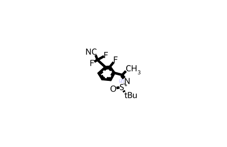 C/C(=N/[S+]([O-])C(C)(C)C)c1cccc(C(F)(F)C#N)c1F